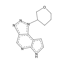 c1cc2c(ncc3nnn(C4CCCOC4)c32)[nH]1